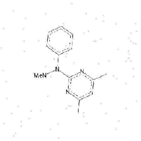 CNN(c1ccccc1)c1nc(C)cc(C)n1